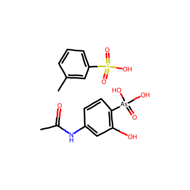 CC(=O)Nc1ccc([As](=O)(O)O)c(O)c1.Cc1cccc(S(=O)(=O)O)c1